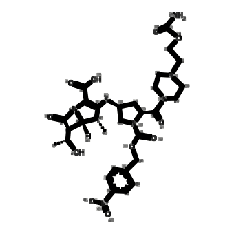 C[C@@H](O)[C@H]1C(=O)N2C(C(=O)O)=C(S[C@H]3C[C@@H](C(=O)N4CCN(CCOC(N)=O)CC4)N(C(=O)OCc4ccc([N+](=O)[O-])cc4)C3)[C@H](C)[C@H]12